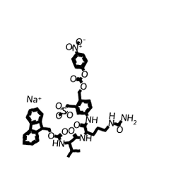 CC(C)C(NC(=O)OCC1c2ccccc2-c2ccccc21)C(=O)NC(CCCNC(N)=O)C(=O)Nc1ccc(COC(=O)Oc2ccc([N+](=O)[O-])cc2)c(CS(=O)(=O)[O-])c1.[Na+]